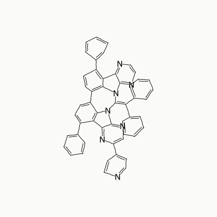 c1ccc(C(c2ccccc2)=c2n3c4nccnc4c4c(-c5ccccc5)ccc(c5ccc(-c6ccccc6)c6c7nc(-c8ccncc8)cnc7n2c56)c43)cc1